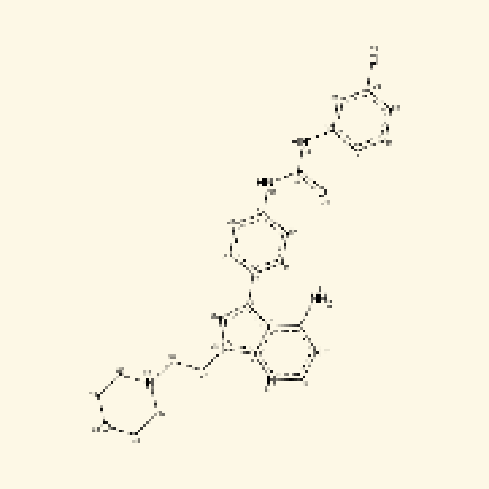 Nc1ncnc2c1c(-c1ccc(NC(=O)Nc3cccc(Cl)c3)cc1)cn2CCN1CCOCC1